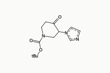 CC(C)(C)OC(=O)N1CCC(=O)C(n2ccnc2)C1